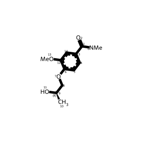 CNC(=O)c1ccc(OC[C@@H](C)O)c(OC)c1